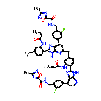 C=CC(=O)Nc1cc(Cc2cc(-c3ccc(CNC(=O)c4nc(C(C)(C)C)no4)c(F)c3)c3nc(-c4ccc(C(F)(F)F)cc4NC(=O)C=C)[nH]c3n2)ccc1-c1nc2c(-c3ccc(CNC(=O)c4nc(C(C)(C)C)no4)c(F)c3)ccnc2[nH]1